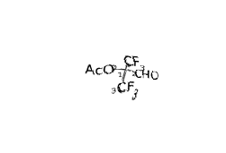 CC(=O)OC(C=O)(C(F)(F)F)C(F)(F)F